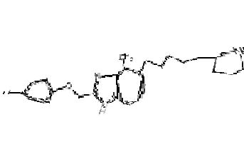 Cc1c(CCCCCC2CCCNC2)ccc2[nH]c(COc3ccc(Cl)cc3)nc12